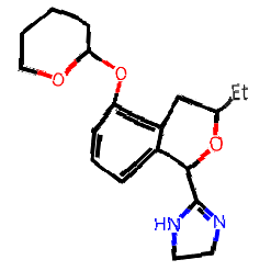 CCC1Cc2c(OC3CCCCO3)cccc2C(C2=NCCN2)O1